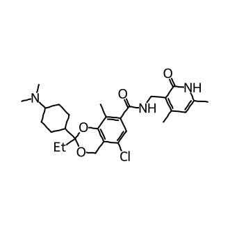 CCC1(C2CCC(N(C)C)CC2)OCc2c(Cl)cc(C(=O)NCc3c(C)cc(C)[nH]c3=O)c(C)c2O1